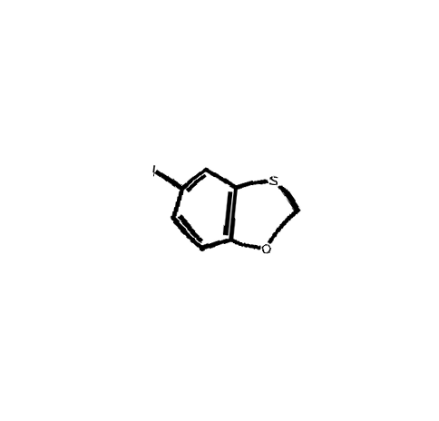 Ic1ccc2c(c1)SCO2